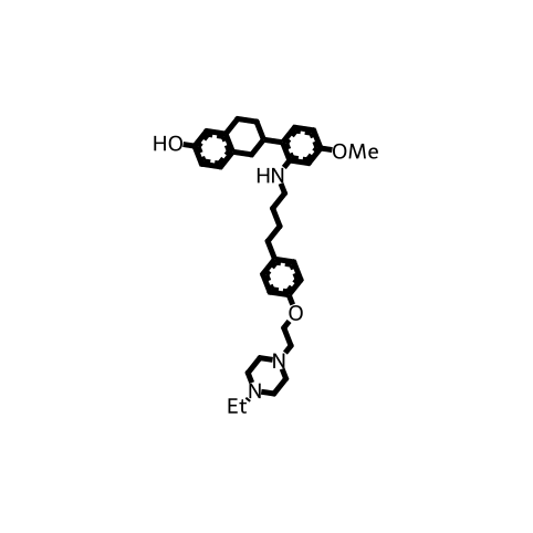 CCN1CCN(CCOc2ccc(CCCCNc3cc(OC)ccc3C3CCc4cc(O)ccc4C3)cc2)CC1